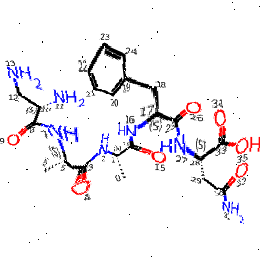 C[C@H](NC(=O)[C@H](C)NC(=O)[C@@H](N)CN)C(=O)N[C@@H](Cc1ccccc1)C(=O)N[C@@H](CC(N)=O)C(=O)O